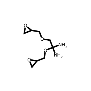 NC(N)(COCC1CO1)OCC1CO1